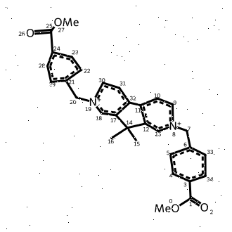 COC(=O)c1ccc(C[n+]2ccc3c(c2)C(C)(C)c2c[n+](Cc4ccc(C(=O)OC)cc4)ccc2-3)cc1